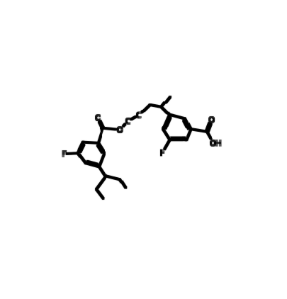 CCC(CC)c1cc(F)cc(C(=O)OCCCC(C)c2cc(F)cc(C(=O)O)c2)c1